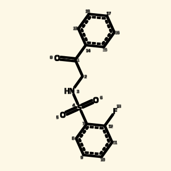 O=C(CNS(=O)(=O)c1ccccc1F)c1ccccc1